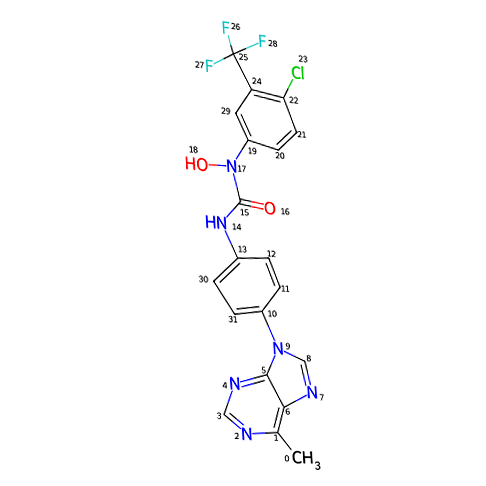 Cc1ncnc2c1ncn2-c1ccc(NC(=O)N(O)c2ccc(Cl)c(C(F)(F)F)c2)cc1